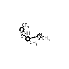 Cc1ncc(C#Cc2cc(C(=S)Nc3cc(C(F)(F)F)ccn3)ccc2C)s1